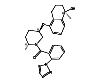 C[C@@H]1CC[C@@H](Oc2cccc3c2CCC[C@@]3(C)O)CN1C(=O)c1ccccc1-n1nccn1